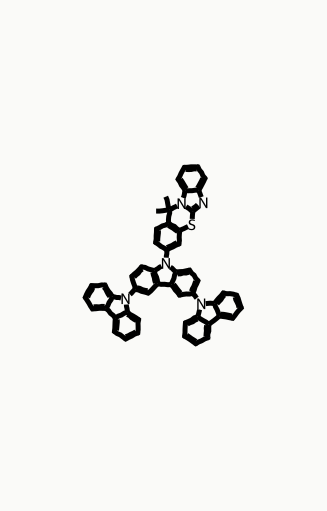 CC1(C)c2ccc(-n3c4ccc(-n5c6ccccc6c6ccccc65)cc4c4cc(-n5c6ccccc6c6ccccc65)ccc43)cc2Sc2nc3ccccc3n21